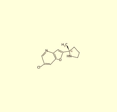 C[C@@]1(c2cc3ncc(Cl)cc3o2)CCCN1